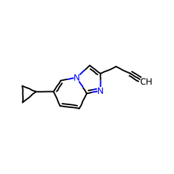 C#CCc1cn2cc(C3CC3)ccc2n1